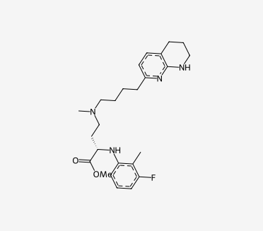 COC(=O)[C@H](CCN(C)CCCCc1ccc2c(n1)NCCC2)Nc1cccc(F)c1C